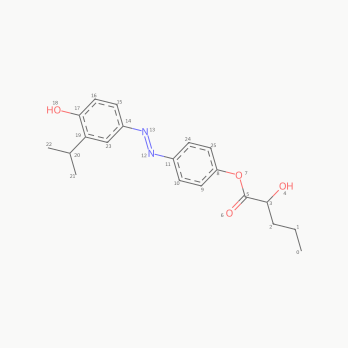 CCCC(O)C(=O)Oc1ccc(N=Nc2ccc(O)c(C(C)C)c2)cc1